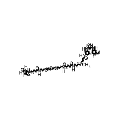 CN(C/C=C/C(=O)Nc1cccc(Nc2cc(Nc3ccc(F)c(CI)c3)ncn2)c1)CCCCNC(=O)CCCC(=O)NCCCOCCOCCOCCCNC(=O)CCCC[C@@H]1SC[C@@H]2NC(=O)N[C@@H]21